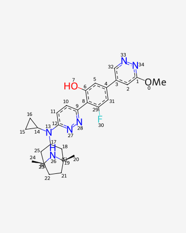 COc1cc(-c2cc(O)c(-c3ccc(N(C4CC4)C4C[C@]5(C)CC[C@](C)(C4)N5)nn3)c(F)c2)cnn1